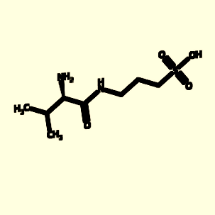 CC(C)[C@@H](N)C(=O)NCCCS(=O)(=O)O